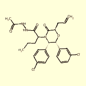 C=CC[C@H]1O[C@H](c2cccc(Cl)c2)[C@H](c2ccc(Cl)cc2)N(C(CCC)C(=O)NNC(C)=O)C1=O